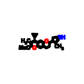 COC(=O)[C@@H](C)[C@H](c1ccc2c(c1)OC(C1CC3NC3C1C)CC2)C1CC1